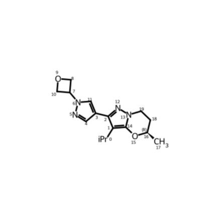 CC(C)c1c(-c2cnn(C3COC3)c2)nn2c1O[C@H](C)CC2